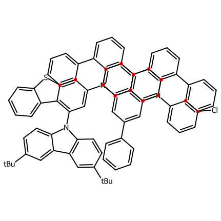 CC(C)(C)c1ccc2c(c1)c1cc(C(C)(C)C)ccc1n2-c1cc(N(c2cc(-c3ccccc3)cc(N(c3cccc(Cl)c3)c3c(-c4ccccc4)cccc3-c3ccccc3)c2)c2c(-c3ccccc3)cccc2-c2ccccc2)cc2sc3ccccc3c12